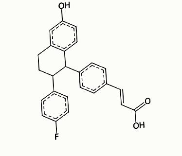 O=C(O)C=Cc1ccc(C2c3ccc(O)cc3CCC2c2ccc(F)cc2)cc1